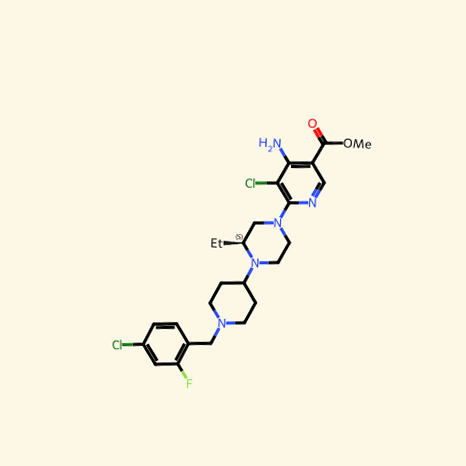 CC[C@H]1CN(c2ncc(C(=O)OC)c(N)c2Cl)CCN1C1CCN(Cc2ccc(Cl)cc2F)CC1